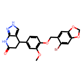 COc1cc(C2CC(=O)Nc3n[nH]cc32)ccc1OCc1cc2c(cc1Br)OCO2